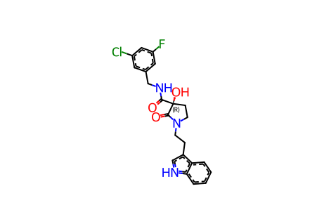 O=C(NCc1cc(F)cc(Cl)c1)[C@]1(O)CCN(CCc2c[nH]c3ccccc23)C1=O